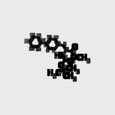 COC(=O)[C@H](Cc1ccc(-c2ccccc2)cc1)NC(=O)OC(C)(C)C